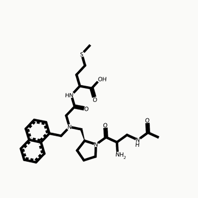 CSCCC(NC(=O)CN(Cc1cccc2ccccc12)C[C@@H]1CCCN1C(=O)C(N)CNC(C)=O)C(=O)O